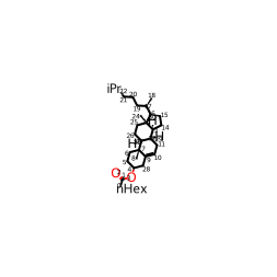 CCCCCCC(=O)O[C@H]1CC[C@@]2(C)C(=CC[C@H]3[C@@H]4CC[C@H]([C@H](C)CCCC(C)C)[C@@]4(C)CC[C@@H]32)C1